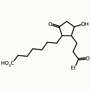 CCC(=O)CCC1C(O)CC(=O)C1CCCCCCC(=O)O